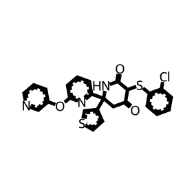 O=C1CC(c2ccsc2)(c2cccc(Oc3cccnc3)n2)NC(=O)C1Sc1ccccc1Cl